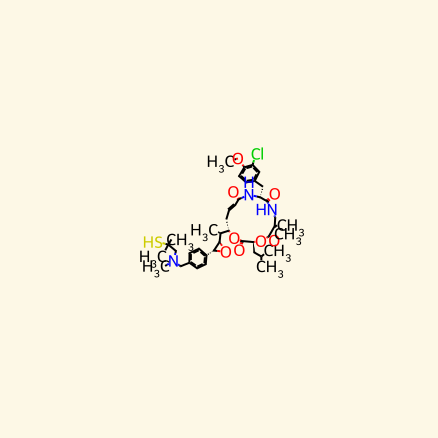 COc1ccc(C[C@H]2NC(=O)/C=C/C[C@@H]([C@H](C)[C@H]3O[C@@H]3c3ccc(CN(C)CC(C)(C)S)cc3)OC(=O)[C@H](CC(C)C)OC(=O)C(C)(C)CNC2=O)cc1Cl